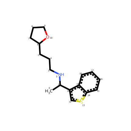 CC(NCCCC1CCCO1)c1csc2ccccc12